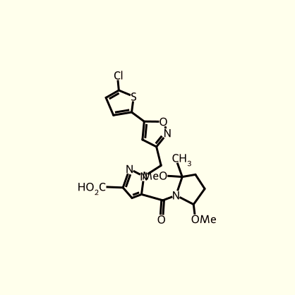 COC1CCC(C)(OC)N1C(=O)c1cc(C(=O)O)nn1Cc1cc(-c2ccc(Cl)s2)on1